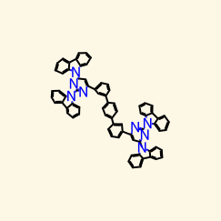 c1cc(-c2ccc(-c3cccc(-c4cc(-n5c6ccccc6c6ccccc65)nc(-n5c6ccccc6c6ccccc65)n4)c3)cc2)cc(-c2cc(-n3c4ccccc4c4ccccc43)nc(-n3c4ccccc4c4ccccc43)n2)c1